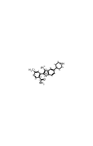 Cc1cc(-c2[nH]c3ccc(C4CCNCC4)cc3c2C(C)C)c(C(N)=O)cn1